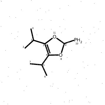 CC(C)C1=C(C(C)C)OC(P)O1